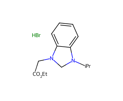 Br.CCOC(=O)CN1CN(C(C)C)c2ccccc21